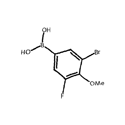 COc1c(F)cc(B(O)O)cc1Br